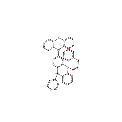 C[Si]1(c2ccccc2)c2ccccc2[Si]2(c3ccccc3Sc3ccccc32)c2cc(N3c4ccccc4Oc4ccccc43)ccc21